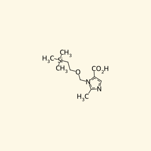 Cc1ncc(C(=O)O)n1COCC[Si](C)(C)C